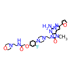 Cn1c(=O)n(CCN2CCN(c3ccc(OCC(=O)NCCN4CCOCC4)cc3F)CC2)c2nc(N)n3nc(-c4ccco4)cc3c21